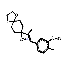 C/C(=C\c1ccc(C)c(C=O)c1)C1(O)CCC2(CC1)OCCO2